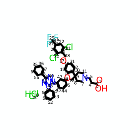 Cl.O=C(O)CCN1CCC2(CC1)COc1cc(OCc3c(Cl)cc(C(F)(F)F)cc3Cl)ccc12.[Cl-].c1ccc(-c2nn(-c3ccccc3)[n+](-c3ccccc3)n2)cc1